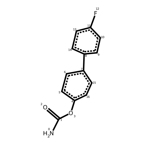 NC(=O)Oc1ccc(-c2ccc(F)cc2)cc1